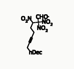 CCCCCCCCCCCC#CCCC([N+](=O)[O-])C([C]=O)([N+](=O)[O-])[N+](=O)[O-]